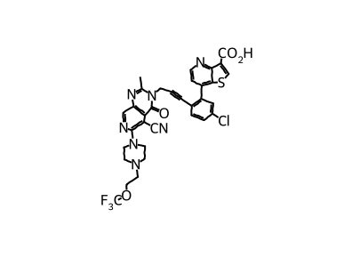 Cc1nc2cnc(N3CCN(CCOC(F)(F)F)CC3)c(C#N)c2c(=O)n1CC#Cc1ccc(Cl)cc1-c1ccnc2c(C(=O)O)csc12